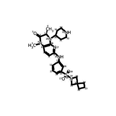 C[C@@H]1C(=O)N(C)c2ccc(Nc3cccc(S(=O)(=O)N4CC5(CCC5)C4)c3)nc2N1C1CCNCC1